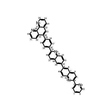 c1ccc(-c2ccc3cc(-c4ccc5nc(-c6ccc(-c7cc8cccnc8c8ncccc78)cc6)ccc5c4)ccc3n2)nc1